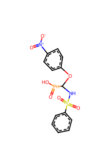 O=[N+]([O-])c1ccc(OC(NS(=O)(=O)c2ccccc2)[PH](=O)O)cc1